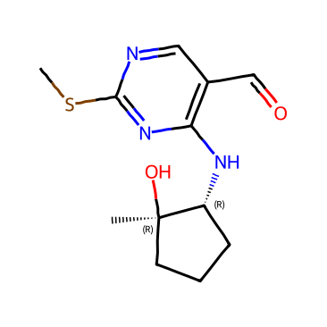 CSc1ncc(C=O)c(N[C@@H]2CCC[C@@]2(C)O)n1